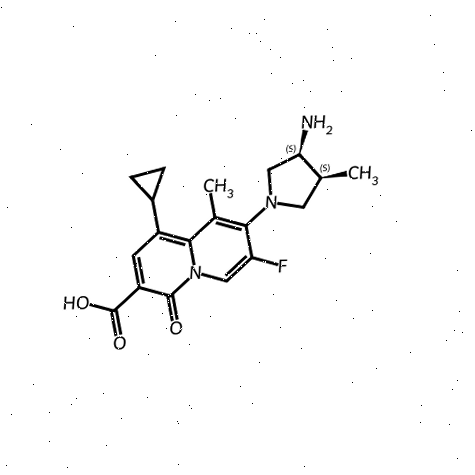 Cc1c(N2C[C@@H](N)[C@@H](C)C2)c(F)cn2c(=O)c(C(=O)O)cc(C3CC3)c12